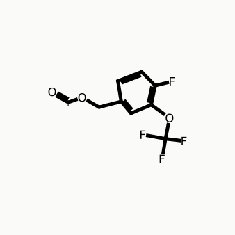 O=[C]OCc1ccc(F)c(OC(F)(F)F)c1